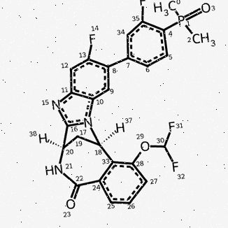 CP(C)(=O)c1ccc(-c2cc3c(cc2F)nc2n3[C@@H]3C[C@H]2NC(=O)c2cccc(OC(F)F)c23)cc1F